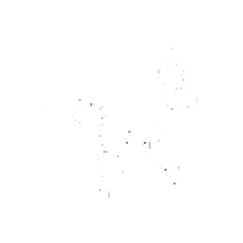 Cc1nc(C(=O)N(CCc2c[nH]c3cc(Cl)ccc23)CC2CC2)c(-c2ccc(C)c(C)c2)s1